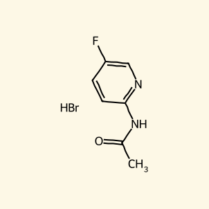 Br.CC(=O)Nc1ccc(F)cn1